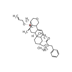 C=CCO[C@H]1[C@H](C)C[C@@]23COC[C@@]1(C)[C@@H]2CC[C@H]1C3=CC[C@@]2(C)[C@H](C(=O)OCc3ccccc3)[C@@](C)([C@H](C)C(C)C)CC[C@]12C